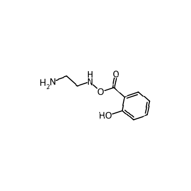 NCCNOC(=O)c1ccccc1O